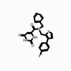 O=C(c1cc(=O)[nH]c(=O)[nH]1)N(Cc1ccccc1)Cc1sccc1-c1ccc(F)cc1